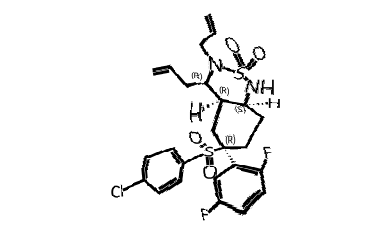 C=CC[C@@H]1[C@@H]2C[C@](c3cc(F)ccc3F)(S(=O)(=O)c3ccc(Cl)cc3)CC[C@@H]2NS(=O)(=O)N1CC=C